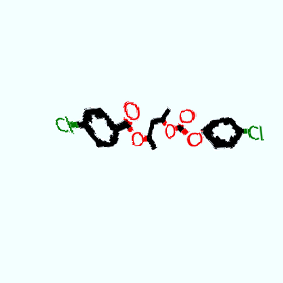 CC(CC(C)OC(=O)c1ccc(Cl)cc1)OC(=O)Oc1ccc(Cl)cc1